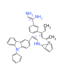 C=C/C(=C\C(=C)[C@]12C=CC=C1C2N/C=C\c1ccc2c(c1)c1ccccc1n2-c1ccccc1)c1cccc(/C(N)=C/N)c1